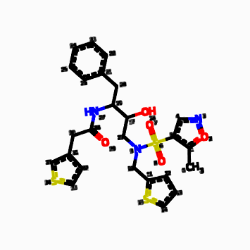 Cc1oncc1S(=O)(=O)N(Cc1cccs1)CC(O)C(Cc1ccccc1)NC(=O)Cc1ccsc1